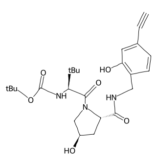 C#Cc1ccc(CNC(=O)[C@@H]2C[C@@H](O)CN2C(=O)[C@@H](NC(=O)OC(C)(C)C)C(C)(C)C)c(O)c1